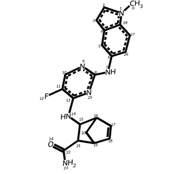 Cn1ccc2cc(Nc3ncc(F)c(NC4C5C=CC(C5)C4C(N)=O)n3)ccc21